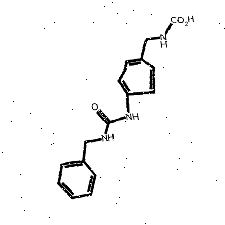 O=C(O)NCc1ccc(NC(=O)NCc2ccccc2)cc1